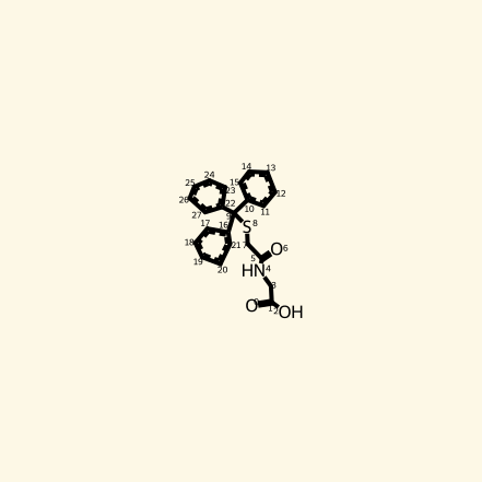 O=C(O)CNC(=O)CSC(c1ccccc1)(c1ccccc1)c1ccccc1